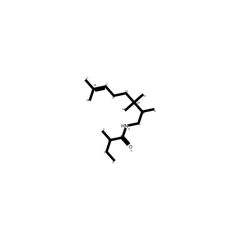 CCC(C)C(=O)NCC(C)C(C)(C)CCC=C(C)C